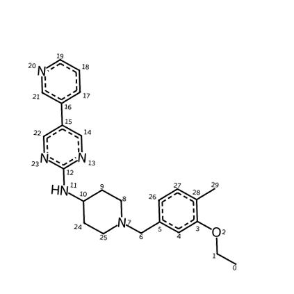 CCOc1cc(CN2CCC(Nc3ncc(-c4cccnc4)cn3)CC2)ccc1C